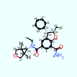 CCN(C(=O)c1cc(C(N)=O)c2c(c1)[C@H](c1ccccc1)[C@@H](CF)O2)[C@@H]1[C@@H]2COC[C@@H]21